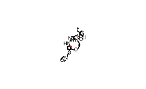 O=C1N2CC#CCOCc3cc(ccc3OCCN3CCOCC3)Nc3ncc(c2n3)CN1c1c(CF)csc1Cl